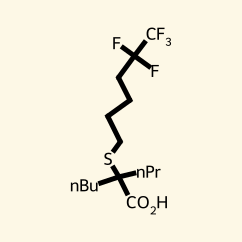 CCCCC(CCC)(SCCCCC(F)(F)C(F)(F)F)C(=O)O